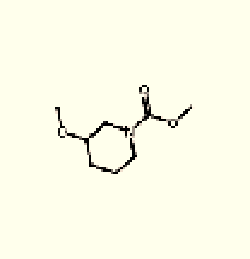 COC(=O)N1CCCC(OC)C1